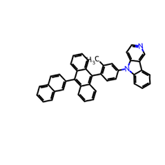 Cc1cc(-n2c3ccccc3c3cnccc32)ccc1-c1c2ccccc2c(-c2ccc3ccccc3c2)c2ccccc12